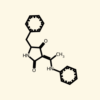 C/C(Nc1ccccc1)=C1/C(=O)NC(Cc2ccccc2)C1=O